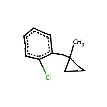 CC1(c2cc[c]cc2Cl)CC1